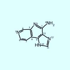 Nc1nc2cnccc2c2[nH]cnc12